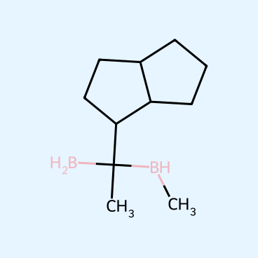 BC(C)(BC)C1CCC2CCCC21